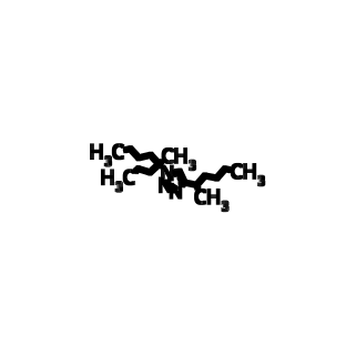 CCCCC(C)c1cn(C(C)(CCC)CCCC)nn1